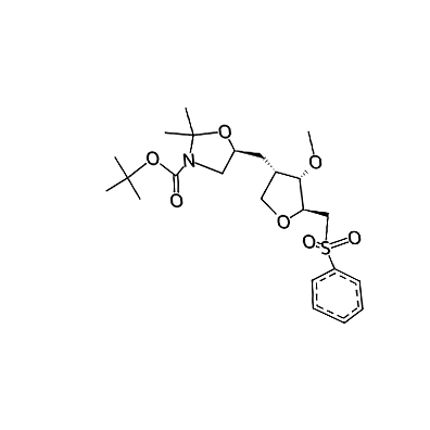 CO[C@H]1[C@@H](C[C@H]2CN(C(=O)OC(C)(C)C)C(C)(C)O2)CO[C@@H]1CS(=O)(=O)c1ccccc1